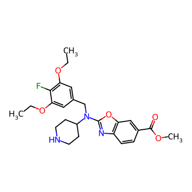 CCOc1cc(CN(c2nc3ccc(C(=O)OC)cc3o2)C2CCNCC2)cc(OCC)c1F